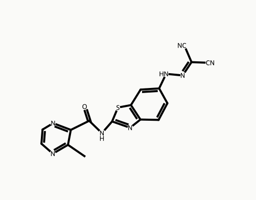 Cc1nccnc1C(=O)Nc1nc2ccc(NN=C(C#N)C#N)cc2s1